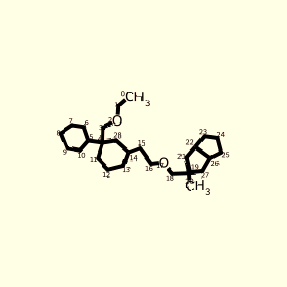 CCOCC1(C2CCCCC2)CCCC(CCOCC2(C)CC3CCCC3C2)C1